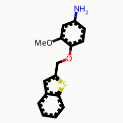 COc1cc(N)ccc1OCc1cc2ccccc2s1